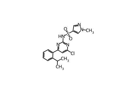 CC(C)c1ccccc1-c1cc(Cl)nc(NS(=O)(=O)c2cnn(C)c2)n1